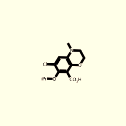 CC(C)Oc1c(Cl)cc2c(c1C(=O)O)OCCN2C